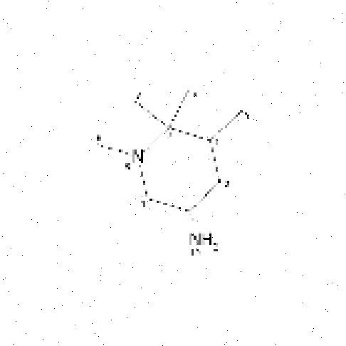 CC1CCCN(C)C1(C)C.N